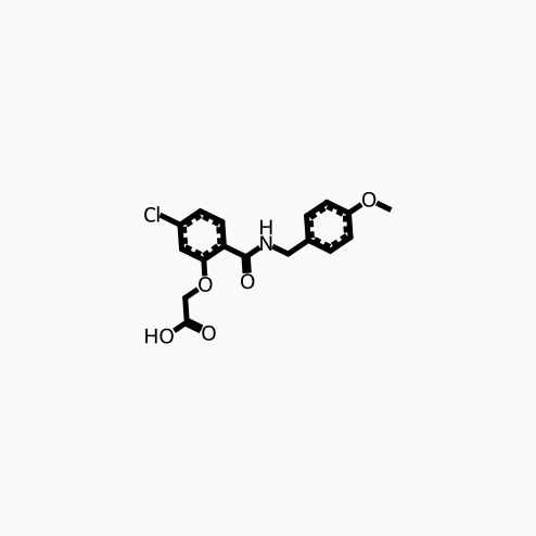 COc1ccc(CNC(=O)c2ccc(Cl)cc2OCC(=O)O)cc1